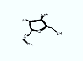 CO[C@@H]1O[C@H](CO)[C@H](O)[C@@H]1O